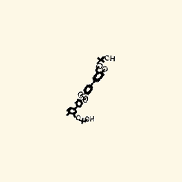 COc1ccc(-c2ccc(S(=O)(=O)c3ccc(-c4ccc(C)c(COCC(C)(C)CO)c4)cc3)cc2)cc1COCC(C)(C)CO